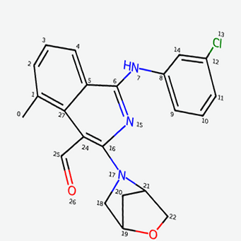 Cc1cccc2c(Nc3cccc(Cl)c3)nc(N3CC4CC3CO4)c(C=O)c12